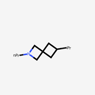 CCCN1CC2(CC(C(C)C)C2)C1